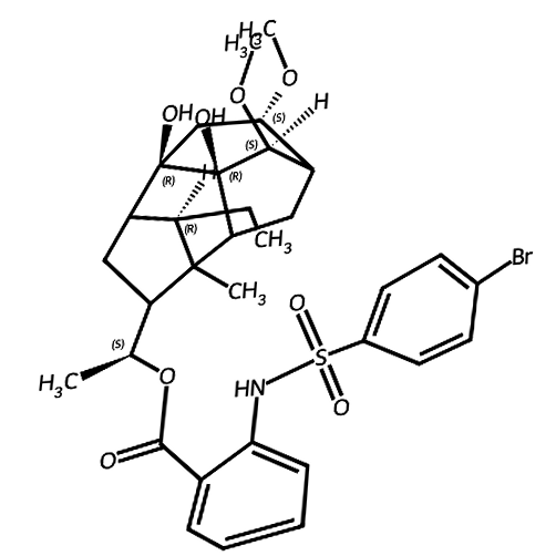 CC[C@@H]1C2CC([C@H](C)OC(=O)c3ccccc3NS(=O)(=O)c3ccc(Br)cc3)C1(C)C1CC3[C@@H](OC)C[C@]2(O)[C@]1(O)[C@H]3OC